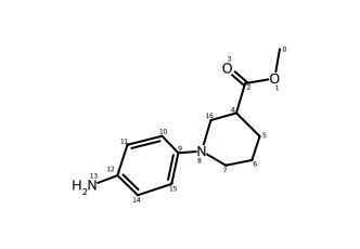 COC(=O)C1CCCN(c2ccc(N)cc2)C1